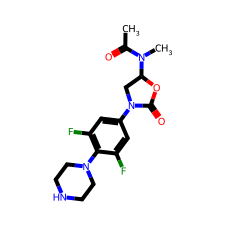 CC(=O)N(C)C1CN(c2cc(F)c(N3CCNCC3)c(F)c2)C(=O)O1